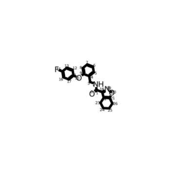 O=C(NCc1ccccc1Oc1ccc(F)cc1)c1noc2c1CCCC2